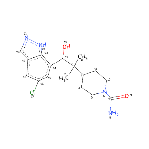 CC(C)(C1CCN(C(N)=O)CC1)C(O)c1cc(Cl)cc2cn[nH]c12